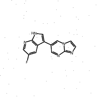 Fc1cnc2[nH]cc(-c3cnc4nccn4c3)c2c1